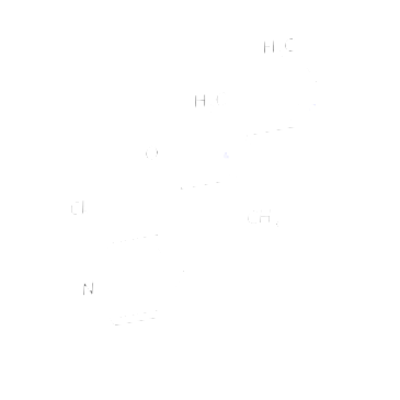 C/C=C\C(C)=C(/C)C(=O)c1cccnc1Cl